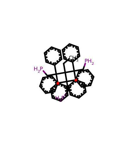 CCC(C(CP)(c1ccccc1)c1ccccc1)(C(CP)(c1ccccc1)c1ccccc1)C(CP)(c1ccccc1)c1ccccc1